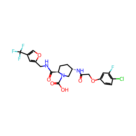 O=C(COc1ccc(Cl)c(F)c1)N[C@H]1CC[C@H](C(=O)NCc2cc(C(F)(F)F)co2)N(C(=O)O)C1